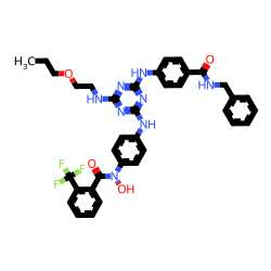 CCCOCCNc1nc(Nc2ccc(C(=O)NCc3ccccc3)cc2)nc(Nc2ccc(N(O)C(=O)c3ccccc3C(F)(F)F)cc2)n1